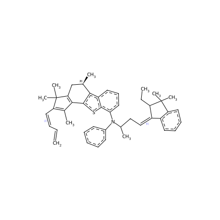 C=C/C=C\C1=C(C)C2=C(C[C@@H](C)c3c2sc2c(N(c4ccccc4)C(C)C/C=C4/c5ccccc5C(C)(C)C4CC)cccc32)C1(C)C